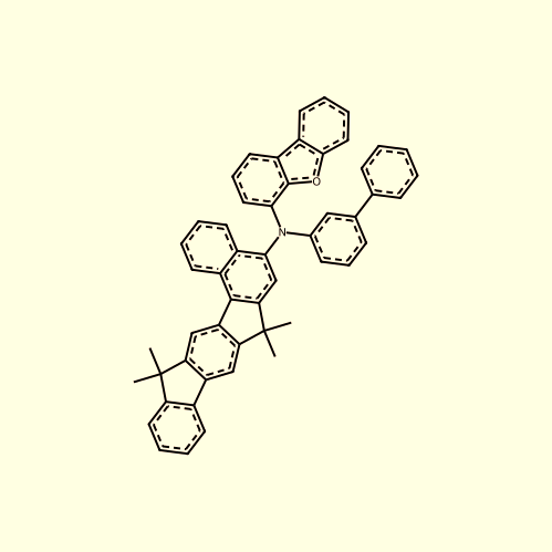 CC1(C)c2ccccc2-c2cc3c(cc21)-c1c(cc(N(c2cccc(-c4ccccc4)c2)c2cccc4c2oc2ccccc24)c2ccccc12)C3(C)C